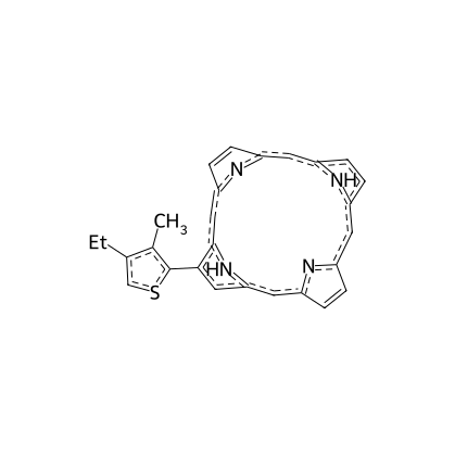 CCc1csc(-c2cc3cc4nc(cc5ccc(cc6nc(cc2[nH]3)C=C6)[nH]5)C=C4)c1C